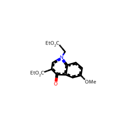 CCOC(=O)Cn1cc(C(=O)OCC)c(=O)c2cc(OC)ccc21